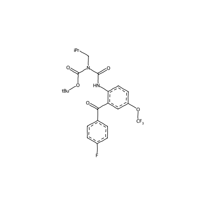 CC(C)CN(C(=O)Nc1ccc(OC(F)(F)F)cc1C(=O)c1ccc(F)cc1)C(=O)OC(C)(C)C